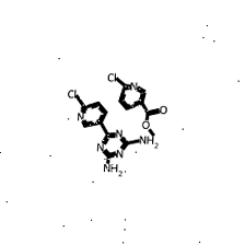 COC(=O)c1ccc(Cl)nc1.Nc1nc(N)nc(-c2ccc(Cl)nc2)n1